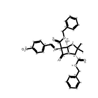 CC1(C)S[C@H]2N(C(=O)[C@]2(N=Cc2ccc([N+](=O)[O-])cc2)C(=O)OCc2ccccc2)[C@H]1C(=O)OCc1ccccc1